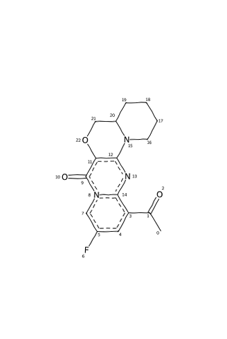 CC(=O)c1cc(F)cn2c(=O)c3c(nc12)N1CCCCC1CO3